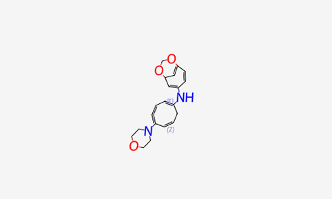 C1=C/C=C(/NC2=CC3C=C(C=C2)OCO3)C/C=C\C=1N1CCOCC1